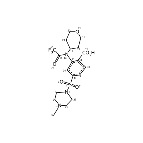 CN1CCN(S(=O)(=O)c2ccc(C(=O)O)c(N(C(=O)C(F)(F)F)C3CCOCC3)c2)CC1